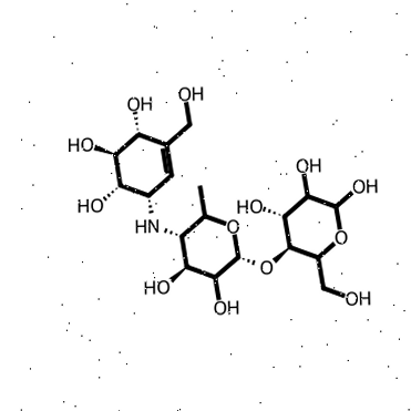 CC1O[C@H](O[C@@H]2C(CO)OC(O)C(O)[C@H]2O)C(O)[C@@H](O)[C@@H]1N[C@H]1C=C(CO)[C@@H](O)[C@H](O)[C@H]1O